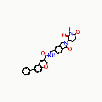 O=C1CCC(N2Cc3cc(CNC(=O)C4=Cc5cc(-c6ccccc6)ccc5OC4)ccc3C2=O)C(=O)N1